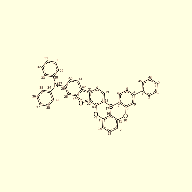 c1ccc(-c2ccc3c(c2)Oc2cccc4c2B3c2ccc3c(oc5cc(N(c6ccccc6)c6ccccc6)ccc53)c2O4)cc1